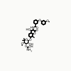 COc1cccc(Oc2cccc(C(=O)Nc3c(O)c4ccc(O[C@@H]5OC(C)(C)[C@H](OC)[C@@H](OC(N)O)[C@H]5O)c(C)c4oc3=O)c2)c1